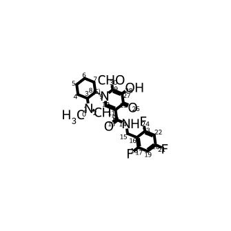 CN(C)C1CCCC[C@@H]1n1cc(C(=O)NCc2c(F)cc(F)cc2F)c(=O)c(O)c1C=O